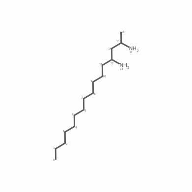 CCCCCCCCCCCCC(N)CC(C)N